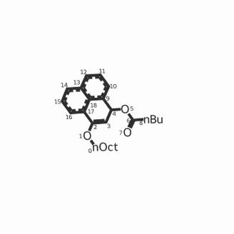 CCCCCCCCOC1=CC(OC(=O)CCCC)c2cccc3cccc1c23